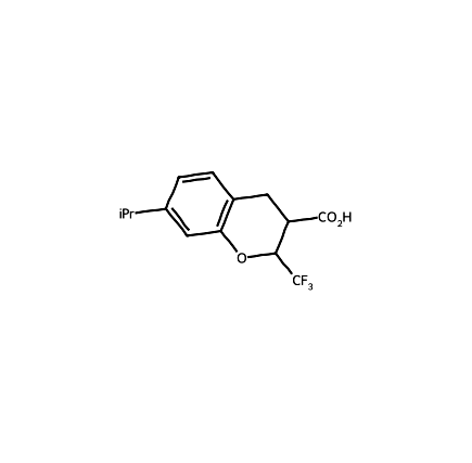 CC(C)c1ccc2c(c1)OC(C(F)(F)F)C(C(=O)O)C2